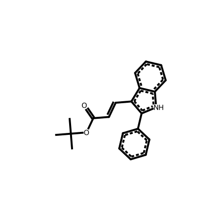 CC(C)(C)OC(=O)/C=C/c1c(-c2ccccc2)[nH]c2ccccc12